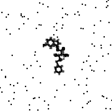 CC(C)[C@@H](C(=O)OCc1ccccc1)C(=O)On1ccc2ccc(F)cc21